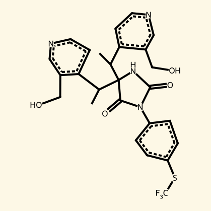 CC(c1ccncc1CO)C1(C(C)c2ccncc2CO)NC(=O)N(c2ccc(SC(F)(F)F)cc2)C1=O